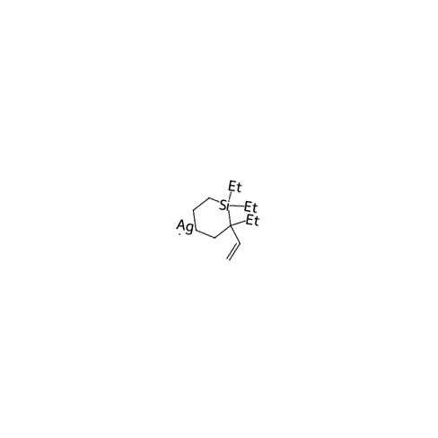 C=CC1(CC)CCCC[Si]1(CC)CC.[Ag]